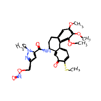 COc1cc2c(c(OC)c1OC)-c1ccc(SC)c(=O)cc1[C@@H](NC(=O)c1cc(CON=O)nn1C)CC2